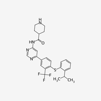 CC(C)c1ccccc1Sc1ccc(-c2cc(NC(=O)C3CCNCC3)ncn2)cc1C(F)(F)F